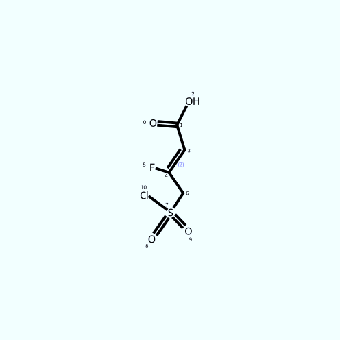 O=C(O)/C=C(\F)CS(=O)(=O)Cl